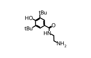 CC(C)(C)c1cc(C(=O)NCCN)cc(C(C)(C)C)c1O